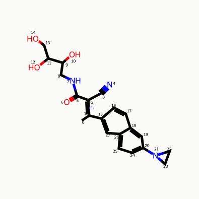 C/C(=C(/C#N)C(=O)NCC(O)C(O)CO)c1ccc2cc(N3CC3)ccc2c1